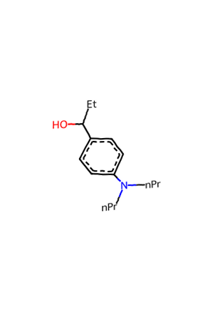 CCCN(CCC)c1ccc(C(O)CC)cc1